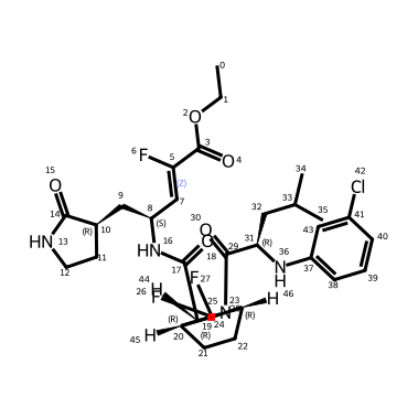 CCOC(=O)/C(F)=C/[C@H](C[C@H]1CCNC1=O)NC(=O)[C@H]1[C@H]2CC[C@H](CC2(F)F)N1C(=O)[C@@H](CC(C)C)Nc1cccc(Cl)c1